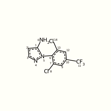 Nc1[c]cnn1-c1c(Cl)cc(C(F)(F)F)cc1Cl